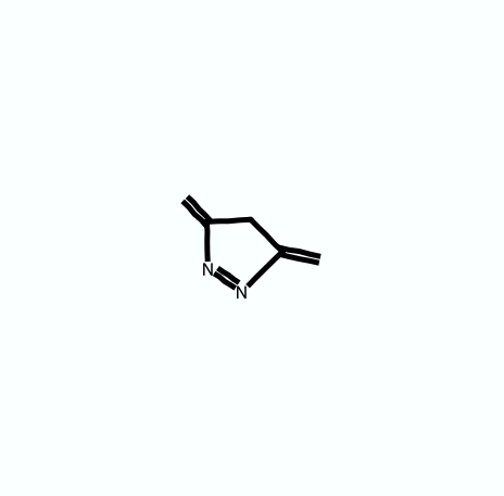 C=C1CC(=C)N=N1